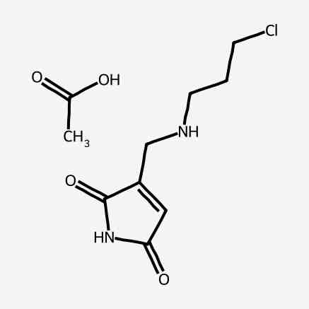 CC(=O)O.O=C1C=C(CNCCCCl)C(=O)N1